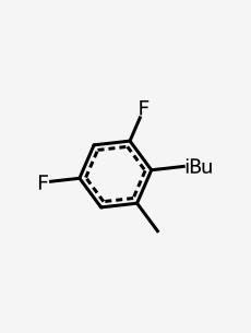 CCC(C)c1c(C)cc(F)cc1F